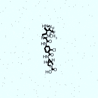 Cn1c(-c2c[nH]nc2C(F)(F)F)cnc1C(=O)Nc1ccc(C(=O)N[C@@H]2[C@@H]3CN(C(=O)O)C[C@@H]32)c(Cl)c1